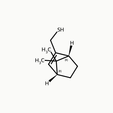 CC1(C)[C@H]2C=C(CS)[C@@H]1CC2